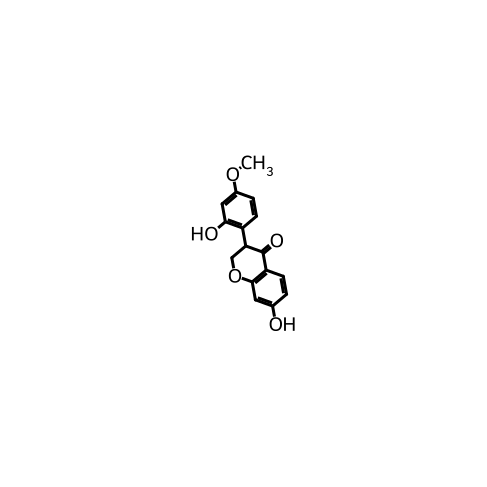 COc1ccc(C2COc3cc(O)ccc3C2=O)c(O)c1